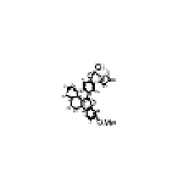 COc1ccc(C2=C(C(=O)c3ccc(OC(C)N4CCCC4)cc3)c3ccccc3CC2)cc1